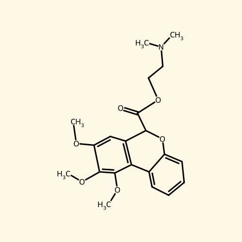 COc1cc2c(c(OC)c1OC)-c1ccccc1OC2C(=O)OCCN(C)C